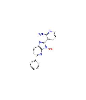 Nc1ncccc1-c1nc2ccc(-c3ccccc3)nc2n1O